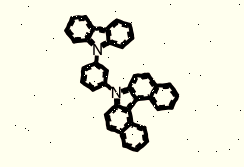 c1cc(-n2c3ccccc3c3ccccc32)cc(-n2c3ccc4ccccc4c3c3c4ccccc4ccc32)c1